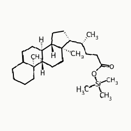 C[C@H](CCC(=O)O[Si](C)(C)C)[C@H]1CC[C@H]2[C@@H]3CCC4CCCC[C@]4(C)[C@H]3CC[C@]12C